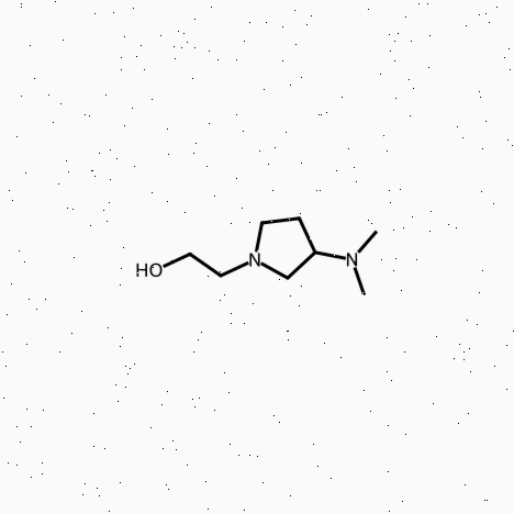 CN(C)C1CCN(CCO)C1